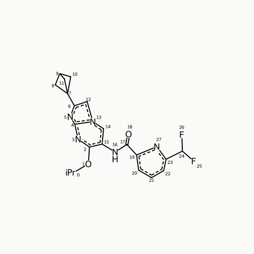 CC(C)Oc1nc2nc(C34CC(C3)C4)cn2cc1NC(=O)c1cccc(C(F)F)n1